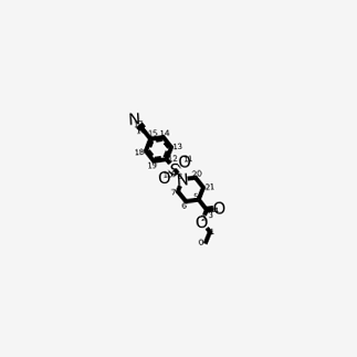 CCOC(=O)C1CCN(S(=O)(=O)c2ccc(C#N)cc2)CC1